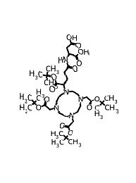 CC(C)(C)OC(=O)CN1CCN(CC(=O)OC(C)(C)C)CCN(C(CCC(=O)NC(CC(=O)O)C(=O)O)C(=O)OC(C)(C)C)CCN(CC(=O)OC(C)(C)C)CC1